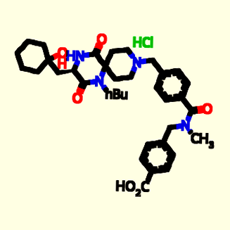 CCCCN1C(=O)[C@@H](CC2(O)CCCCC2)NC(=O)C12CCN(Cc1ccc(C(=O)N(C)Cc3ccc(C(=O)O)cc3)cc1)CC2.Cl